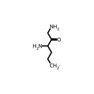 [CH2]CCC(N)C(=O)CN